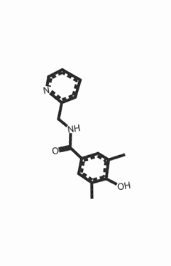 Cc1cc(C(=O)NCc2ccccn2)cc(C)c1O